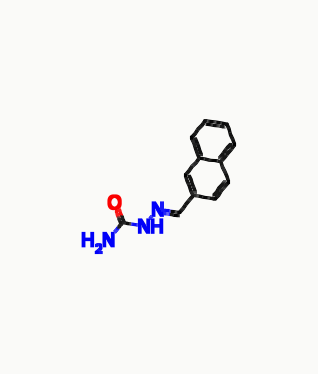 NC(=O)NN=Cc1ccc2ccccc2c1